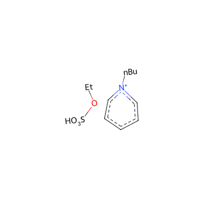 CCCC[n+]1ccccc1.CCOS(=O)(=O)O